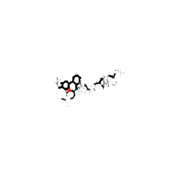 CC(=O)N1CCC(c2nn(CC(=O)N(C)Cc3cn(CC(=O)O)nn3)c3cccc(-c4cc5c(cnn5C)cc4F)c23)CC1